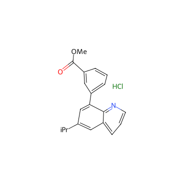 COC(=O)c1cccc(-c2cc(C(C)C)cc3cccnc23)c1.Cl